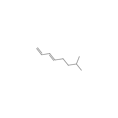 C=C/C=C/CCC(C)C